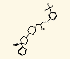 N#CC1(c2ccccc2)CCC(N2CCN(CC(O)COc3cccc(C(F)(F)F)c3)CC2)CC1